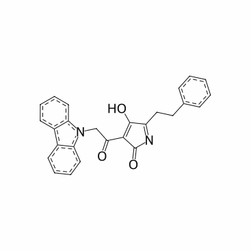 O=C(Cn1c2ccccc2c2ccccc21)C1=C(O)C(CCc2ccccc2)=NC1=O